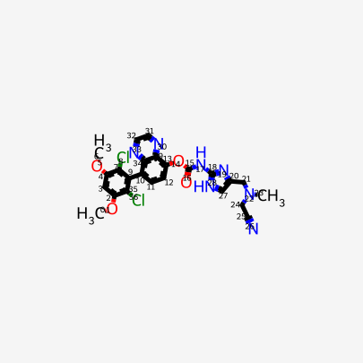 COc1cc(OC)c(Cl)c(-c2ccc(OC(=O)Nc3nc(CN(C)CC#N)c[nH]3)c3nccnc23)c1Cl